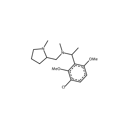 COc1ccc(Cl)c(OC)c1C(C)N(C)CC1CCCN1C